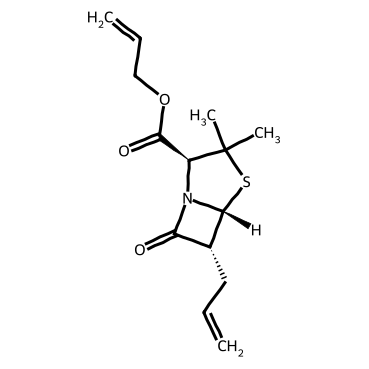 C=CCOC(=O)[C@@H]1N2C(=O)[C@@H](CC=C)[C@H]2SC1(C)C